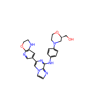 OC[C@H]1CN(c2ccc(Nc3nc(-c4cnc5c(c4)NCCO5)cn4ccnc34)cc2)CCO1